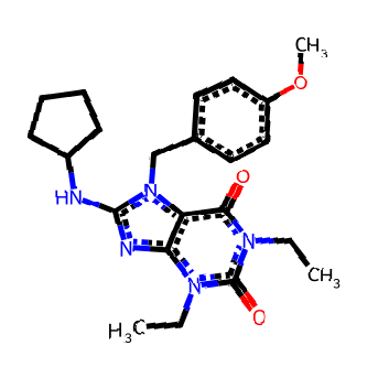 CCn1c(=O)c2c(nc(NC3CCCC3)n2Cc2ccc(OC)cc2)n(CC)c1=O